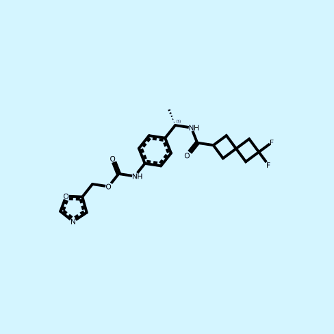 C[C@H](NC(=O)C1CC2(C1)CC(F)(F)C2)c1ccc(NC(=O)OCc2cnco2)cc1